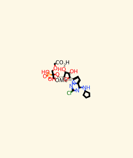 COCC(COCC(=O)O)(OC[C@H]1O[C@@H](c2ccc3c(NC4CCCC4)nc(Cl)nn23)[C@H](O)[C@@H]1O)P(=O)(O)O